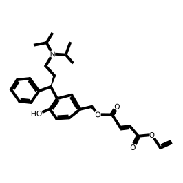 C=COC(=O)/C=C/C(=O)OCc1ccc(O)c([C@H](CCN(C(C)C)C(C)C)c2ccccc2)c1